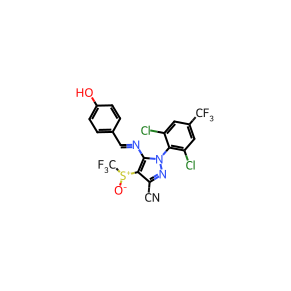 N#Cc1nn(-c2c(Cl)cc(C(F)(F)F)cc2Cl)c(N=Cc2ccc(O)cc2)c1[S+]([O-])C(F)(F)F